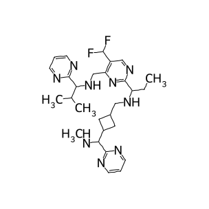 CCC(NCC1CC(C(NC)c2ncccn2)C1)c1ncc(C(F)F)c(CNC(c2ncccn2)C(C)C)n1